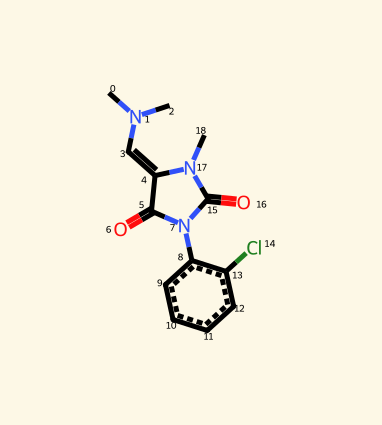 CN(C)C=C1C(=O)N(c2ccccc2Cl)C(=O)N1C